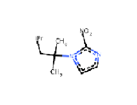 CC(C)CC(C)(C)n1ccnc1[N+](=O)[O-]